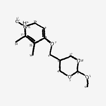 COC1OCC(COC2=CC[NH+]([O-])C(C)=C2C)CO1